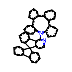 c1ccc2c(c1)-c1ccccc1C21c2ccccc2-c2c1ccnc2-n1c2ccccc2c2ccccc2c2ccccc2c2ccccc21